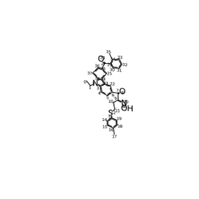 CCn1c2ccc(C(=O)/C(CCSc3ccc(C)cc3)=N/O)cc2c2cc(C(=O)c3ccccc3C)ccc21